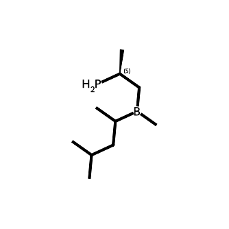 CB(C[C@H](C)P)C(C)CC(C)C